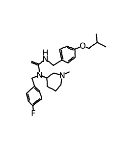 C=C(NCc1ccc(OCC(C)C)cc1)N(Cc1ccc(F)cc1)[C@@H]1CCCN(C)C1